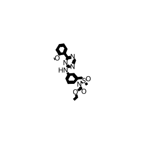 CCOC(=O)N=S(C)(=O)Cc1cccc(Nc2ncnc(-c3ccccc3OC)n2)c1